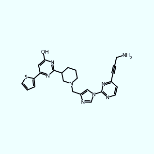 NCC#Cc1ccnc(-n2cnc(CN3CCCC(c4nc(O)cc(-c5cccs5)n4)C3)c2)n1